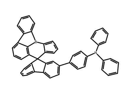 c1ccc(N(c2ccccc2)c2ccc(-c3ccc4c(c3)C3(c5ccccc5B5c6ccccc6-c6cccc3c65)c3ccccc3-4)cc2)cc1